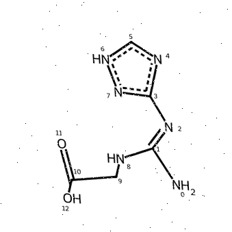 NC(=Nc1nc[nH]n1)NCC(=O)O